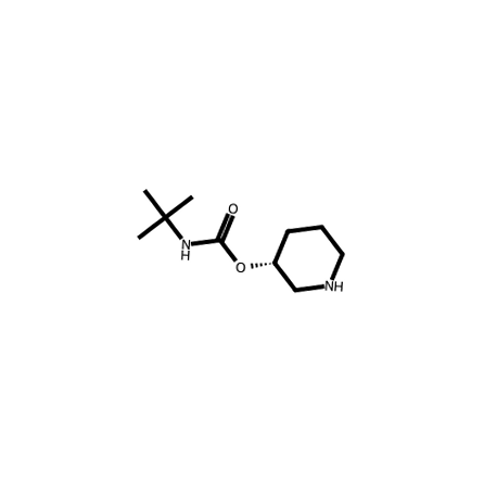 CC(C)(C)NC(=O)O[C@@H]1CCCNC1